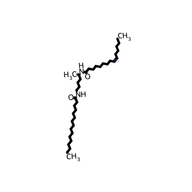 CCCCCC/C=C\CCCCCCCC(=O)N[C@H](C)CCCCNC(=O)CCCCCCCCCCCCCCC